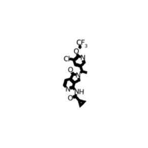 CC(c1cnc(OCC(F)(F)F)c(Cl)c1)N1Cc2c(ccnc2NC(=O)C2CC2)C1=O